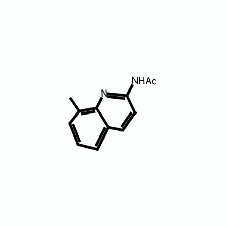 CC(=O)Nc1ccc2cccc(C)c2n1